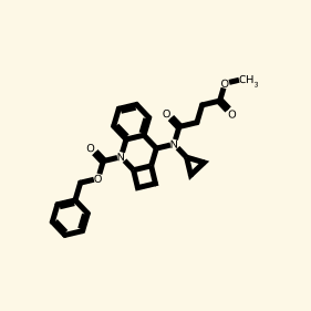 COC(=O)CCC(=O)N(C1CC1)C1c2ccccc2N(C(=O)OCc2ccccc2)C2CCC21